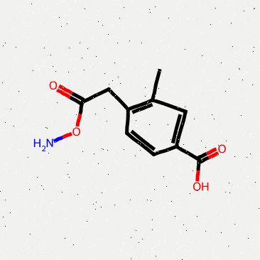 Cc1cc(C(=O)O)ccc1CC(=O)ON